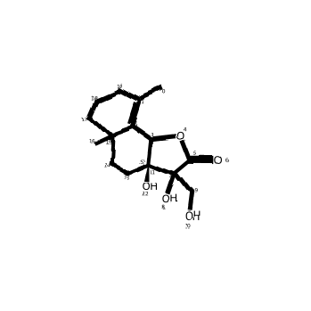 CC1=C2C3OC(=O)C(O)(CO)[C@]3(O)CCC2(C)CCC1